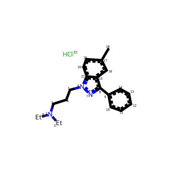 CCN(CC)CCCn1nc(-c2ccccc2)c2cc(C)ccc21.Cl